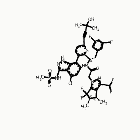 C[C@@H]1c2c(C(F)F)nn(CC(=O)N[C@@H](Cc3cc(F)cc(F)c3)c3nc(C#CC(C)(C)O)ccc3-c3ccc(Cl)c4c(NS(C)(=O)=O)n[nH]c34)c2C(F)(F)[C@@H]1C